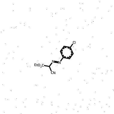 CCOC(=O)C(C#N)N=Nc1ccc(Cl)cc1